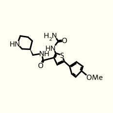 COc1ccc(-c2cc(C(=O)NC[C@@H]3CCCNC3)c(NC(N)=O)s2)cc1